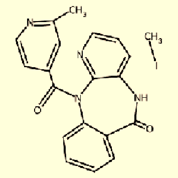 CI.Cc1cc(C(=O)N2c3ccccc3C(=O)Nc3cccnc32)ccn1